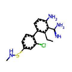 CCc1c(-c2ccc(SNC)cc2Cl)ccc(N)c1C(=N)N